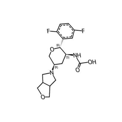 O=C(O)N[C@H]1C[C@@H](N2CC3COCC3C2)CO[C@@H]1c1cc(F)ccc1F